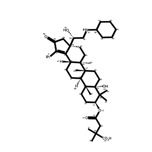 CC(C)C1=C2[C@H]3CC[C@@H]4[C@@]5(C)CC[C@H](OC(=O)CC(C)(C)C(=O)O)C(C)(C)[C@]5(O)CC[C@@]4(C)[C@]3(C)CC[C@@]2([C@H](O)CNC2CCCCC2)CC1=O